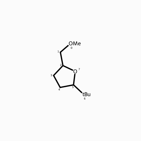 COCC1CCC(C(C)(C)C)O1